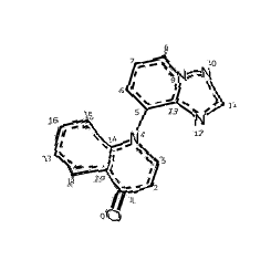 O=c1ccn(-c2cccn3ncnc23)c2ccccc12